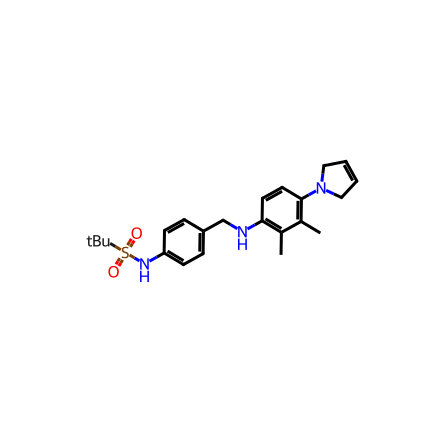 Cc1c(NCc2ccc(NS(=O)(=O)C(C)(C)C)cc2)ccc(N2CC=CC2)c1C